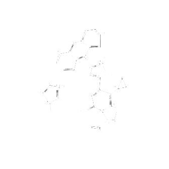 O=C(O)C1CSc2c(C3CC3)c(-c3cc(-c4c5ccccc5cc5ccccc45)no3)cc(=O)n21.c1c[nH]cn1